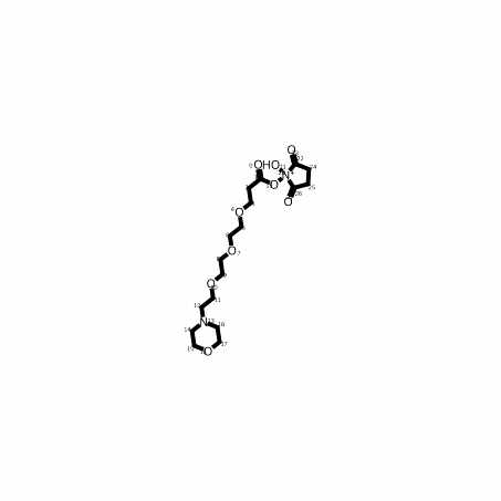 O=C(CCOCCOCCOCCN1CCOCC1)O[N+]1(O)C(=O)CCC1=O